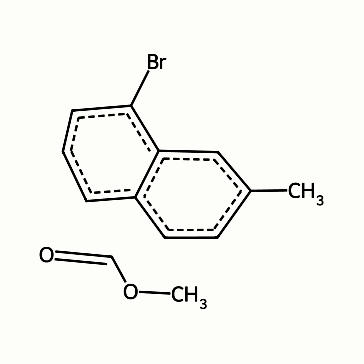 COC=O.Cc1ccc2cccc(Br)c2c1